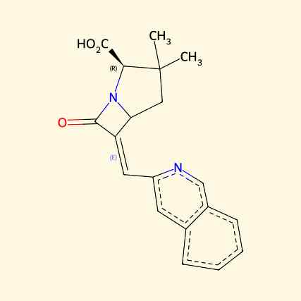 CC1(C)CC2/C(=C\c3cc4ccccc4cn3)C(=O)N2[C@H]1C(=O)O